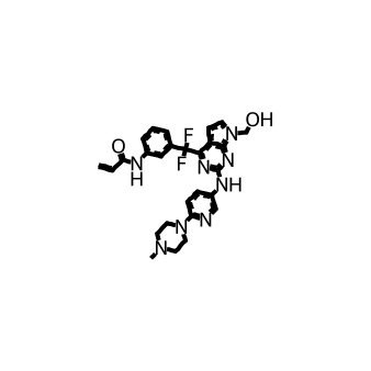 C=CC(=O)Nc1cccc(C(F)(F)c2nc(Nc3ccc(N4CCN(C)CC4)nc3)nc3c2ccn3CO)c1